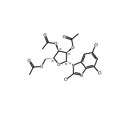 CC(=O)OC[C@H]1O[C@@H](n2c(Cl)nc3c(Cl)cc(Cl)cc32)[C@H](OC(C)=O)[C@@H]1OC(C)=O